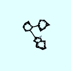 [c]1cccc(-c2ccccc2)c1-c1cc2ccccc2[nH]1